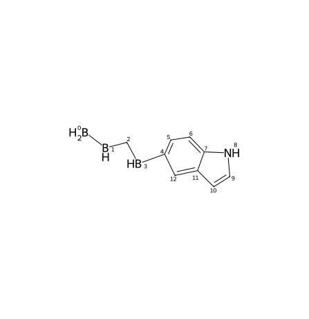 BBCBc1ccc2[nH]ccc2c1